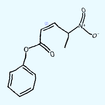 CC(/C=C\C(=O)Oc1ccccc1)[N+](=O)[O-]